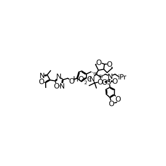 Cc1noc(C)c1-c1nc(COc2ccc(C[C@]3(C4COC5OCCC54)[C@@H](CN(CC(C)C)S(=O)(=O)c4ccc5c(c4)OCO5)OC(C)(C)N3C(=O)O)cc2)no1